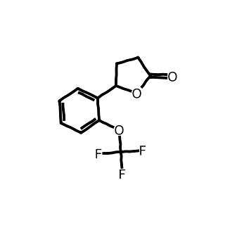 O=C1CCC(c2ccccc2OC(F)(F)F)O1